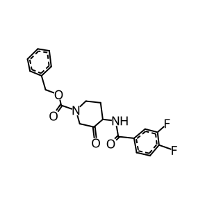 O=C(NC1CCN(C(=O)OCc2ccccc2)CC1=O)c1ccc(F)c(F)c1